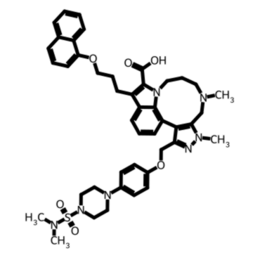 CN1CCCn2c(C(=O)O)c(CCCOc3cccc4ccccc34)c3cccc(c32)-c2c(COc3ccc(N4CCN(S(=O)(=O)N(C)C)CC4)cc3)nn(C)c2C1